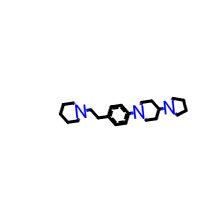 c1cc(N2CCC(N3CCCC3)CC2)ccc1CCN1CCCCC1